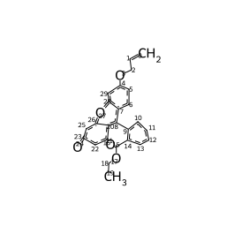 C=CCOc1ccc2c(-c3ccccc3C(=O)OCC)c3ccc(=O)cc-3oc2c1